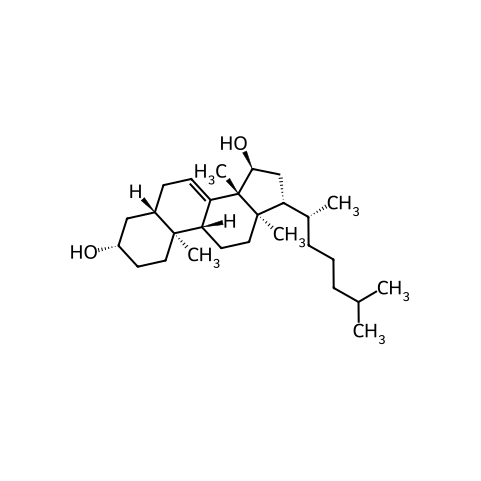 CC(C)CCC[C@@H](C)[C@H]1C[C@H](O)[C@@]2(C)C3=CC[C@H]4C[C@@H](O)CC[C@]4(C)[C@H]3CC[C@]12C